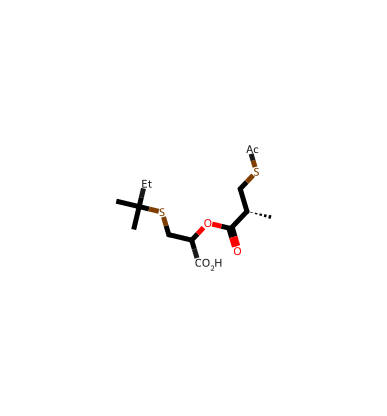 CCC(C)(C)SCC(OC(=O)[C@@H](C)CSC(C)=O)C(=O)O